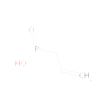 C=CC[P](=O)O